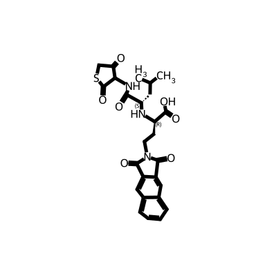 CC(C)C[C@H](N[C@H](CCN1C(=O)c2cc3ccccc3cc2C1=O)C(=O)O)C(=O)NC1C(=O)CSC1=O